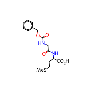 CSCCC(NC(=O)CNC(=O)OCc1ccccc1)C(=O)O